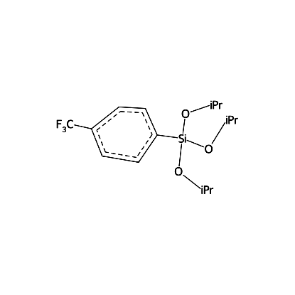 CC(C)O[Si](OC(C)C)(OC(C)C)c1ccc(C(F)(F)F)cc1